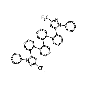 FC(F)(F)c1cc(-c2ccccc2-c2ccccc2-c2ccccc2-c2ccccc2-c2cc(C(F)(F)F)nn2-c2ccccc2)n(-c2ccccc2)n1